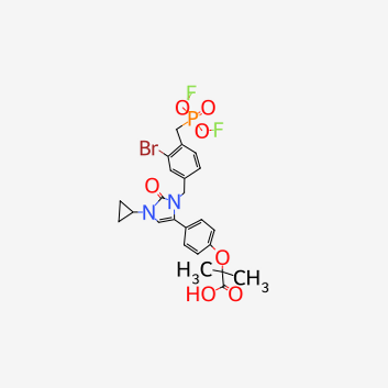 CC(C)(Oc1ccc(-c2cn(C3CC3)c(=O)n2Cc2ccc(CP(=O)(OF)OF)c(Br)c2)cc1)C(=O)O